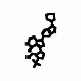 CC(C)(C)C1CCC(c2sc(-c3ccc4c(c3)ncn4C3CCCCC3)c3nc[nH]c(=O)c23)N1CO